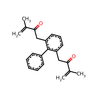 C=C(C)C(=O)Cc1cccc(CC(=O)C(=C)C)c1-c1ccccc1